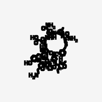 CC[C@H](C)C(NC(C)=O)C(=O)N1CCC[C@H]1C(=O)N1CCC[C@H]1C(=O)N[C@@H](CCCCN)C(=O)N[C@@H](Cc1ccc(O)cc1)C(=O)NC1CSCc2cccc(c2)CSC[C@@H](C(N)=O)N2CC(C)CC(NC(=O)[C@H](CCC(N)=O)NC(=O)[C@H](CCC(=O)O)NC1=O)C2=O